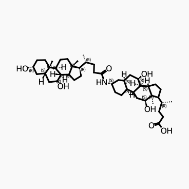 C[C@H](CCC(=O)O)C1CC[C@H]2[C@@H]3[C@H](O)C[C@@H]4C[C@@H](NC(=O)CC[C@@H](C)[C@H]5CC[C@H]6[C@@H]7[C@H](O)C[C@@H]8C[C@H](O)CC[C@]8(C)[C@H]7CC[C@]56C)CC[C@]4(C)[C@H]3C[C@H](O)[C@]12C